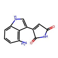 Nc1cccc2[nH]cc(C3=CC(=O)NC3=O)c12